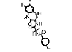 CN1C(=O)[C@H](NC(=O)C(C)(C)NC(=O)c2ccc(F)cc2)CNc2cc(F)c(F)cc21